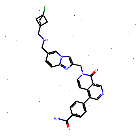 NC(=O)c1ccc(-c2cncc3c(=O)n(Cc4cn5cc(CNCC67CC(F)(C6)C7)ccc5n4)ccc23)cc1